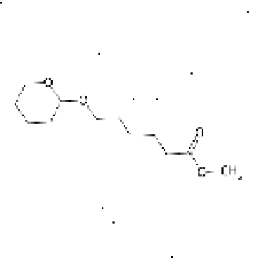 COC(=O)CCCCCOC1CCCCO1